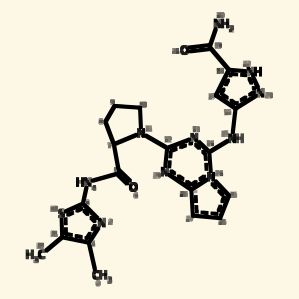 Cc1nc(NC(=O)C2CCCN2c2nc(Nc3cc(C(N)=O)[nH]n3)n3cccc3n2)sc1C